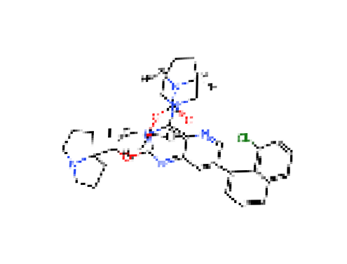 CC(C)(C)OC(=O)N1[C@@H]2CC[C@H]1CN(c1nc(OCC34CCCN3CCC4)nc3cc(-c4cccc5cccc(Cl)c45)cnc13)C2